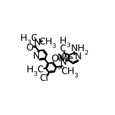 COc1c([C@@H](C)n2nc(C)c3c(N)nccc32)cc(Cl)c(C)c1-c1ccc(C(=O)N(C)C)nc1